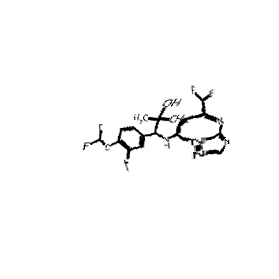 CC(C)(O)C(Nc1cc(C(F)F)nc2ncnn12)c1ccc(OC(F)F)c(F)c1